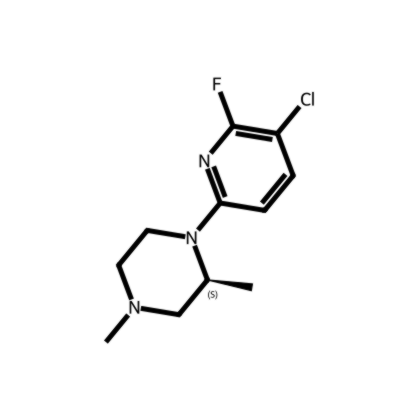 C[C@H]1CN(C)CCN1c1ccc(Cl)c(F)n1